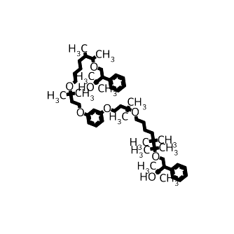 CC(CCCCOC(C)(C)CCOc1cccc(OCCC(C)(C)OCCCCC(C)(C)C(C)(C)OCC(c2ccccc2)C(C)(C)O)c1)C(C)OCC(c1ccccc1)C(C)(C)O